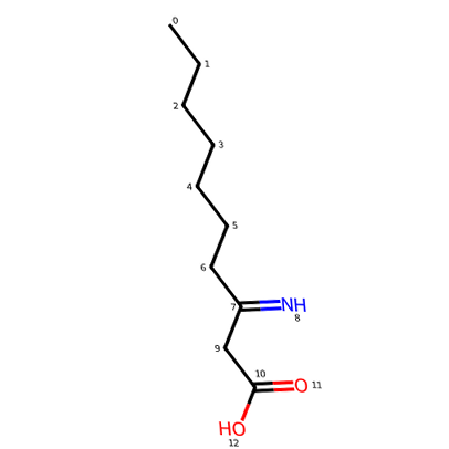 CCCCCCCC(=N)CC(=O)O